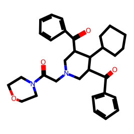 O=C(c1ccccc1)C1CN(CC(=O)N2CCOCC2)CC(C(=O)c2ccccc2)C1C1CCCCC1